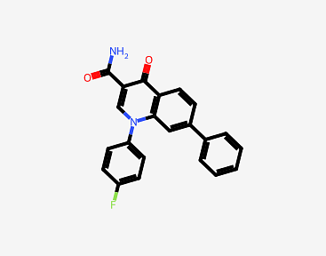 NC(=O)c1cn(-c2ccc(F)cc2)c2cc(-c3ccccc3)ccc2c1=O